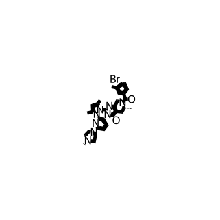 Cc1cc(C)n(-c2nc3c(c(=O)n2-c2ccc(N4CCN(C)CC4)nc2)C[C@@H](C)N(C(=O)c2ccc(Br)c(C)c2)C3)n1